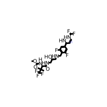 COC(=O)NC(C(=O)NC[C@@H](O)CNCc1c(F)cc(C(=N)/C=C\NC(F)F)cc1F)C(C)(C)C(F)(F)F